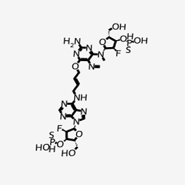 C=Nc1c(OC/C=C/CNc2ncnc3c2ncn3[C@@H]2O[C@H](CO)[C@@H](O[PH](O)=S)[C@H]2F)nc(N)nc1N(C)[C@@H]1O[C@H](CO)[C@@H](O[PH](O)=S)[C@H]1F